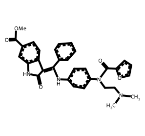 COC(=O)c1ccc2c(c1)NC(=O)/C2=C(\Nc1ccc(N(CCN(C)C)C(=O)c2ccco2)cc1)c1ccccc1